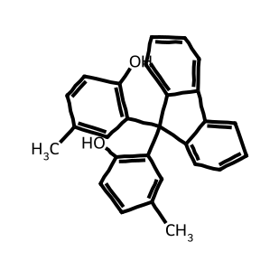 Cc1ccc(O)c(C2(c3cc(C)ccc3O)c3ccccc3-c3ccccc32)c1